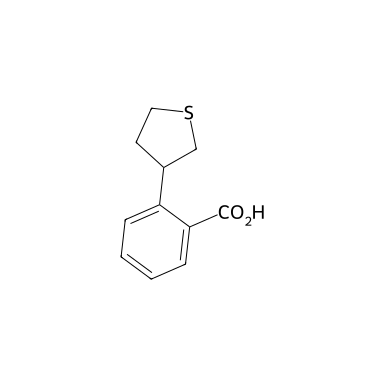 O=C(O)c1ccccc1C1CCSC1